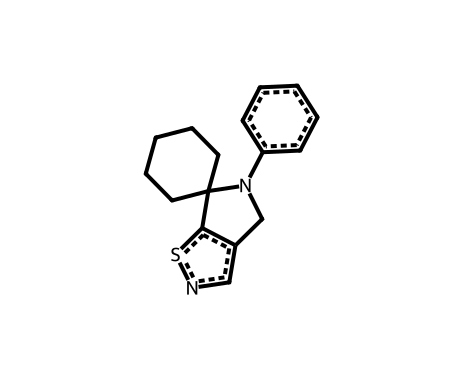 c1ccc(N2Cc3cnsc3C23CCCCC3)cc1